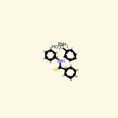 O=C(O)c1ccccc1.S=C(Nc1ccccc1)c1ccccc1.[PbH2]